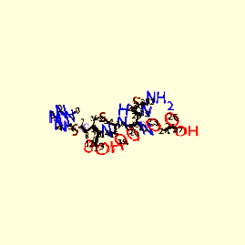 Cn1nnnc1S/C=C/C1=C(C(=O)O)N2C(=O)C(NC(=O)/C(=N/OCC(=O)O)c3csc(N)n3)C2SC1